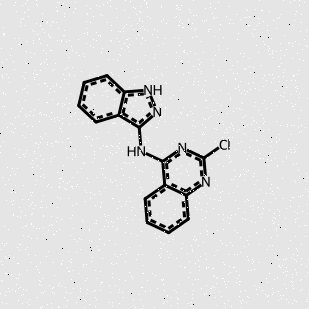 Clc1nc(Nc2n[nH]c3ccccc23)c2ccccc2n1